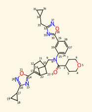 O=C(C1CCOCC1)N(CC12CCC(c3nc(C4CC4)no3)=C(C1)C2)c1cccc(-c2nc(CC3CC3)no2)c1